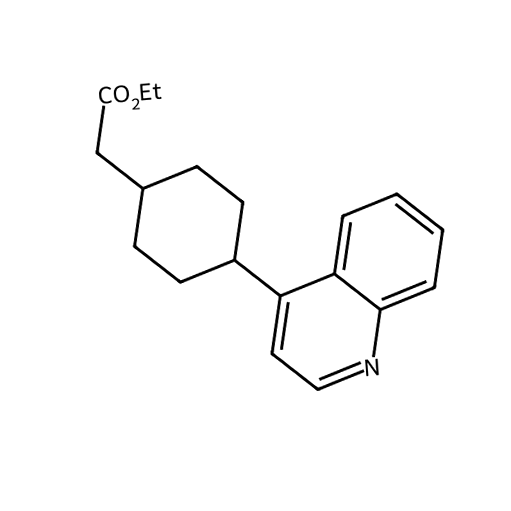 CCOC(=O)CC1CCC(c2ccnc3ccccc23)CC1